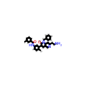 Cc1cccc(C(=O)Nc2ccc(C)c(-c3cc4cnc(CCN)cc4n(Cc4ccccc4)c3=O)c2)c1